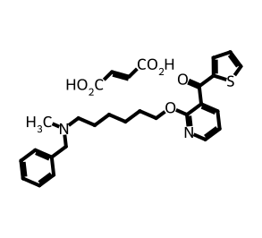 CN(CCCCCCOc1ncccc1C(=O)c1cccs1)Cc1ccccc1.O=C(O)/C=C/C(=O)O